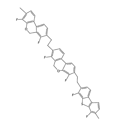 Cc1ccc2c(c1F)OCc1c-2ccc(CCc2ccc3c(c2F)COc2c-3ccc(CCc3ccc4c(sc5c(F)c(C)ccc54)c3F)c2F)c1F